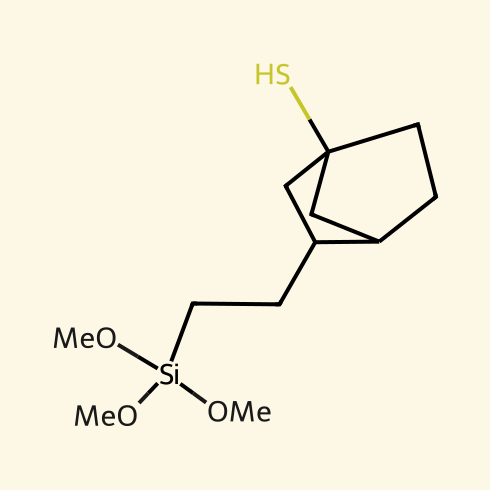 CO[Si](CCC1CC2(S)CCC1C2)(OC)OC